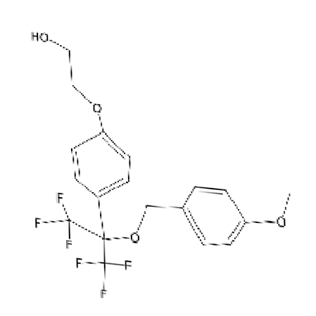 COc1ccc(COC(c2ccc(OCCO)cc2)(C(F)(F)F)C(F)(F)F)cc1